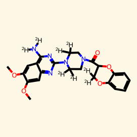 [2H]N([2H])c1nc(N2C([2H])([2H])CN(C(=O)C3Oc4ccccc4OC3([2H])[2H])CC2([2H])[2H])nc2cc(OC)c(OC)cc12